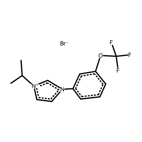 CC(C)[n+]1ccn(-c2cccc(OC(F)(F)F)c2)c1.[Br-]